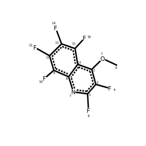 COc1c(F)c(F)nc2c(F)c(F)c(F)c(F)c12